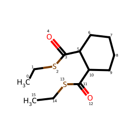 CCSC(=O)C1CCCCC1C(=O)SCC